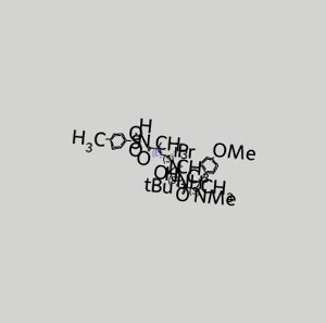 CN[C@H](C(=O)N[C@H](C(=O)N(C)[C@H](/C=C(\C)C(=O)NS(=O)(=O)c1ccc(C)cc1)C(C)C)C(C)(C)C)C(C)(C)c1ccc(OC)cc1